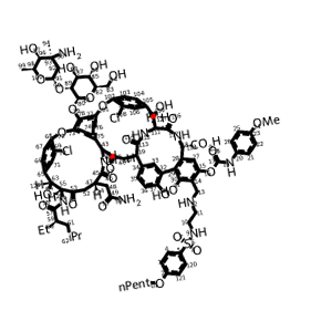 CCCCCOc1ccc(S(=O)(=O)NCCNCc2c(OC(=O)Nc3ccc(OC)cc3)cc3c(c2O)-c2cc(ccc2O)[C@H]2CC(=O)[C@@H]4NC(=O)[C@H](CC(N)=O)CC(=O)[C@H](NC(=O)[C@H](CC)CC(C)C)[C@H](O)c5ccc(c(Cl)c5)Oc5cc4cc(c5O[C@@H]4O[C@H](CO)[C@@H](O)[C@H](O)[C@H]4O[C@H]4C[C@](C)(N)[C@H](O)[C@H](C)O4)Oc4ccc(cc4Cl)[C@@H](O)[C@H](NC2=O)C(=O)N[C@@H]3C(=O)O)cc1